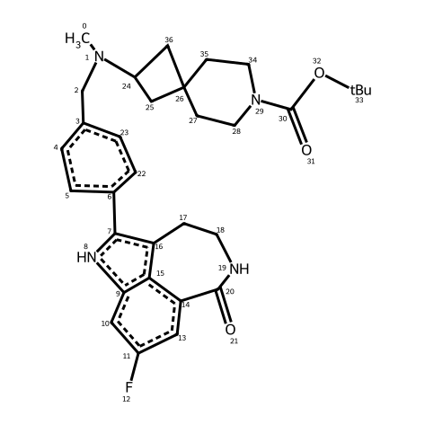 CN(Cc1ccc(-c2[nH]c3cc(F)cc4c3c2CCNC4=O)cc1)C1CC2(CCN(C(=O)OC(C)(C)C)CC2)C1